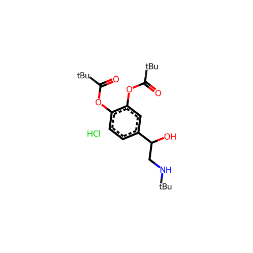 CC(C)(C)NCC(O)c1ccc(OC(=O)C(C)(C)C)c(OC(=O)C(C)(C)C)c1.Cl